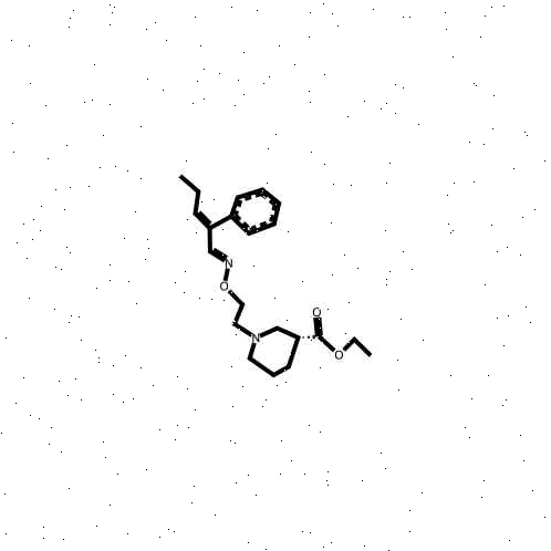 CC/C=C(/C=N/OCCN1CCC[C@@H](C(=O)OCC)C1)c1ccccc1